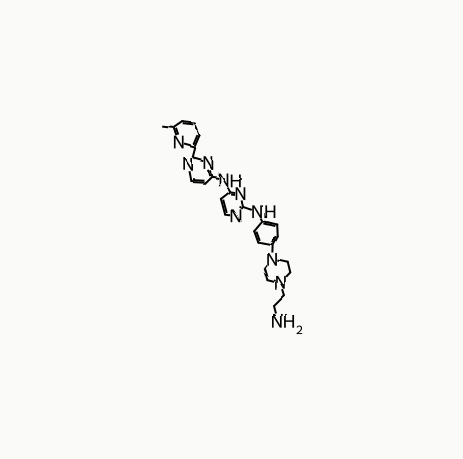 Cc1cccc(-c2nccc(Nc3ccnc(Nc4ccc(N5CCN(CCN)CC5)cc4)n3)n2)n1